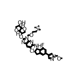 COCn1cc(-c2cc(F)c3c(c2)CC[C@@H]3Nc2nc3c(cc2Cl)nc(O[C@@H]2CO[C@H]4[C@@H]2OC[C@H]4O)n3COCC[Si](C)(C)C)cn1